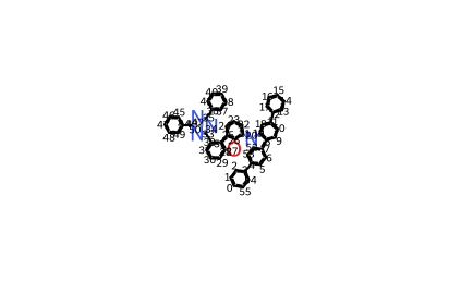 c1ccc(-c2ccc3c4ccc(-c5ccccc5)cc4n(-c4cccc5c4oc4cccc(-c6nc(-c7ccccc7)nc(-c7ccccc7)n6)c45)c3c2)cc1